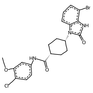 COc1cc(NC(=O)[C@H]2CC[C@@H](n3c(=O)[nH]c4c(Br)cccc43)CC2)ccc1Cl